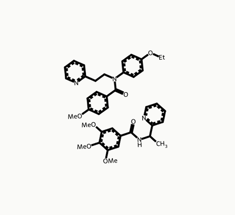 CCOc1ccc(N(CCc2ccccn2)C(=O)c2ccc(OC)cc2)cc1.COc1cc(C(=O)NC(C)c2ccccn2)cc(OC)c1OC